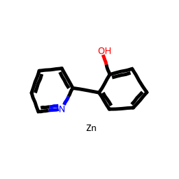 Oc1ccccc1-c1ccccn1.[Zn]